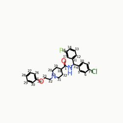 O=C(N[C@H](c1ccc(Cl)cc1)c1cccc(F)c1)C1CCN(CCOc2ccccc2)CC1